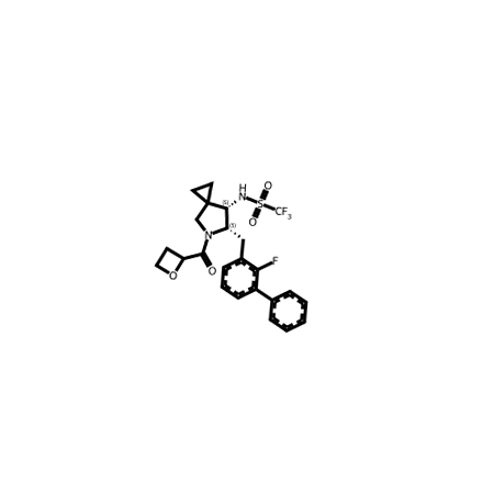 O=C(C1CCO1)N1CC2(CC2)[C@H](NS(=O)(=O)C(F)(F)F)[C@@H]1Cc1cccc(-c2ccccc2)c1F